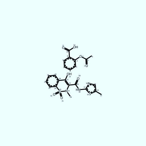 CC(=O)Oc1ccccc1C(=O)O.Cc1cnc(NC(=O)C2=C(O)c3ccccc3S(=O)(=O)N2C)s1